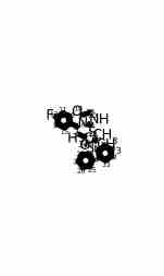 CC(C)(C)[Si](OCC[C@H](c1ccc(F)cc1)N1C(=O)CNC1=S)(c1ccccc1)c1ccccc1